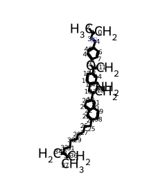 C=C(C)/C=C/c1ccc(OC(=C)c2ccc(CC(=C)c3ccc4cc(CCCCCCCCC(=C)C(=C)C)ccc4c3)c(N)c2)cc1